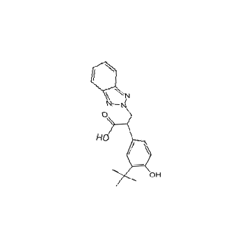 CC(C)(C)c1cc(C(Cn2nc3ccccc3n2)C(=O)O)ccc1O